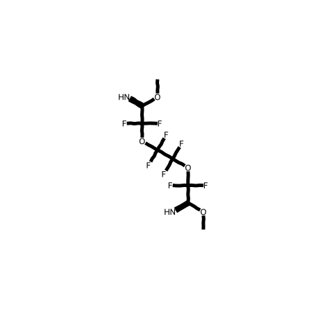 COC(=N)C(F)(F)OC(F)(F)C(F)(F)OC(F)(F)C(=N)OC